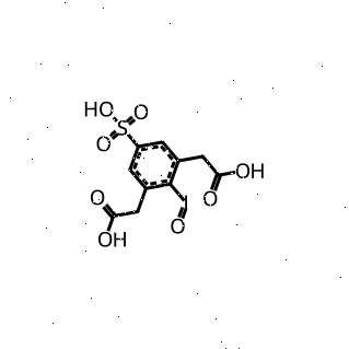 O=Ic1c(CC(=O)O)cc(S(=O)(=O)O)cc1CC(=O)O